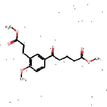 COC(=O)CCCC(=O)c1ccc(OC)c(CCC(=O)OC)c1